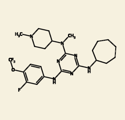 CN1CCC(N(C)c2nc(Nc3ccc(OC(F)(F)F)c(F)c3)nc(NC3CCCCCC3)n2)CC1